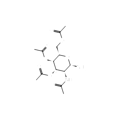 CC(=O)N[C@H]1[C@@H](OC(C)=O)[C@@H](OC(C)=O)[C@@H](COC(C)=O)O[C@H]1N